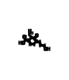 C[C@H]1C(=O)N(CCCO)CCN1C(=O)O